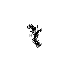 CC(C)CCNC(=O)[C@H](CCCNC(=N)N[N+](=O)[O-])NC(=O)CCC(=O)c1ccc(S(C)(=O)=O)cc1